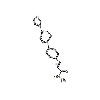 O=C(/C=C/c1ccc(-c2ccc(-n3ccnc3)cc2)cc1)NO